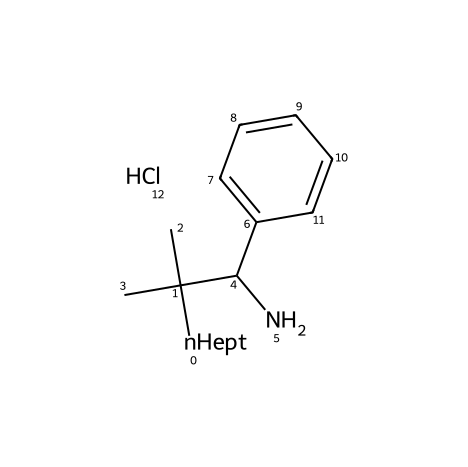 CCCCCCCC(C)(C)C(N)c1ccccc1.Cl